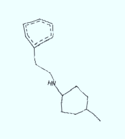 CC1CCC(NCCc2ccccc2)CC1